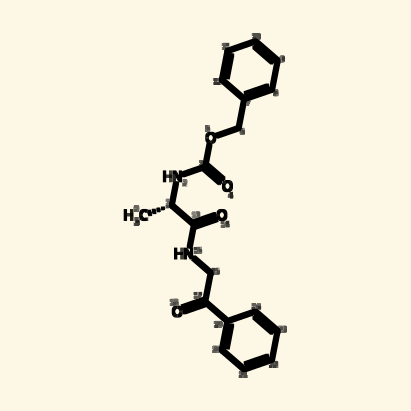 C[C@H](NC(=O)OCc1ccccc1)C(=O)NCC(=O)c1ccccc1